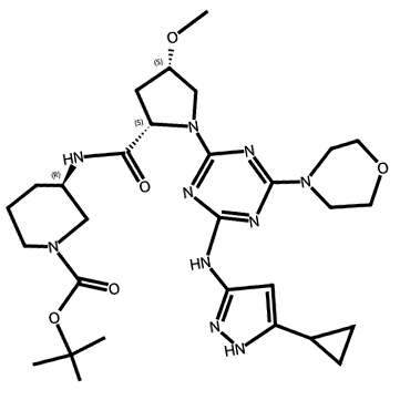 CO[C@H]1C[C@@H](C(=O)N[C@@H]2CCCN(C(=O)OC(C)(C)C)C2)N(c2nc(Nc3cc(C4CC4)[nH]n3)nc(N3CCOCC3)n2)C1